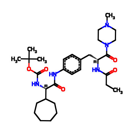 CCC(=O)N[C@H](Cc1ccc(NC(=O)[C@@H](NC(=O)OC(C)(C)C)C2CCCCCC2)cc1)C(=O)N1CCN(C)CC1